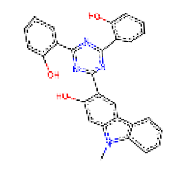 Cn1c2ccccc2c2cc(-c3nc(-c4ccccc4O)nc(-c4ccccc4O)n3)c(O)cc21